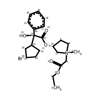 CCOC(=O)C[N+]1(C)CC[C@@H](OC(=O)[C@@](O)(c2ccccc2)C2CCCC2)C1.[Br-]